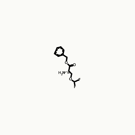 N[C@@H](COC(F)F)C(=O)OCc1ccccc1